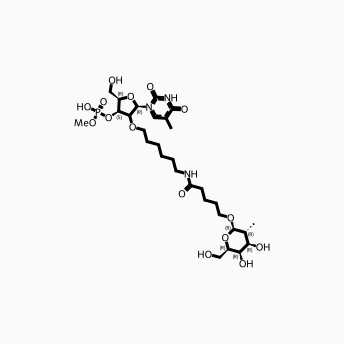 COP(=O)(O)O[C@@H]1C(OCCCCCCNC(=O)CCCCO[C@@H]2O[C@H](CO)[C@H](O)[C@H](O)[C@H]2C)[C@H](n2cc(C)c(=O)[nH]c2=O)O[C@@H]1CO